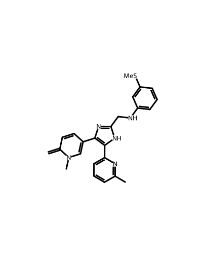 C=C1C=CC(c2nc(CNc3cccc(SC)c3)[nH]c2-c2cccc(C)n2)=CN1C